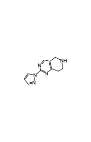 c1cnn(-c2ncc3c(n2)CCNC3)c1